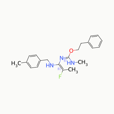 CN/C(=N\C(NCc1ccc(C)cc1)=C(/C)F)OCCc1ccccc1